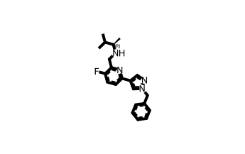 CC(C)[C@@H](C)NCc1nc(-c2cnn(Cc3ccccc3)c2)ccc1F